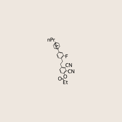 CCCC12CCC(c3ccc(CCc4ccc(OC(=O)CC)c(C#N)c4C#N)c(F)c3)(CC1)CC2